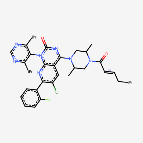 CC(C)C/C=C/C(=O)N1CC(C)N(c2nc(=O)n(-c3c(C(C)C)ncnc3C(C)C)c3nc(-c4ccccc4F)c(Cl)cc23)CC1C